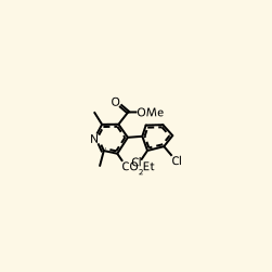 CCOC(=O)c1c(C)nc(C)c(C(=O)OC)c1-c1cccc(Cl)c1Cl